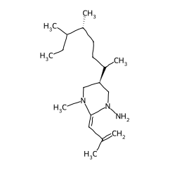 C=C(C)/C=C1/N(C)C[C@@H](C(C)CC[C@@H](C)C(C)CC)CN1N